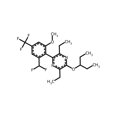 CCc1nc(-c2c(OC)cc(C(F)(F)F)cc2C(F)F)c(CC)nc1OC(CC)CC